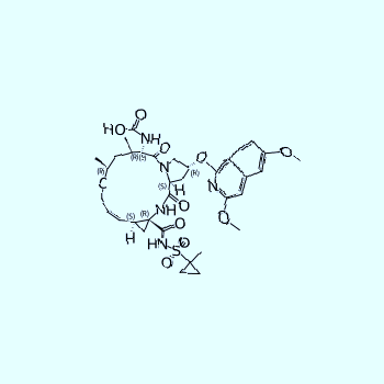 COc1ccc2c(O[C@@H]3C[C@H]4C(=O)N[C@]5(C(=O)NS(=O)(=O)C6(C)CC6)C[C@H]5C=CCC[C@@H](C)C[C@@H](C)[C@H](NC(=O)O)C(=O)N4C3)nc(OC)cc2c1